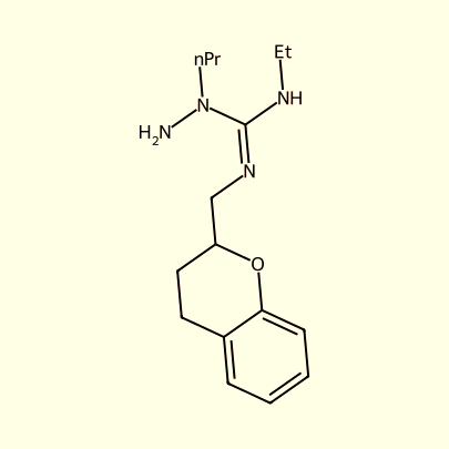 CCCN(N)C(=NCC1CCc2ccccc2O1)NCC